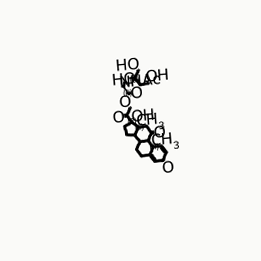 CC(=O)NC[C@H](OCC(=O)[C@@]1(O)CCC2C3CCC4=CC(=O)C=C[C@]4(C)C3C(=O)C[C@@]21C)OC(CO)[C@@H](O)CO